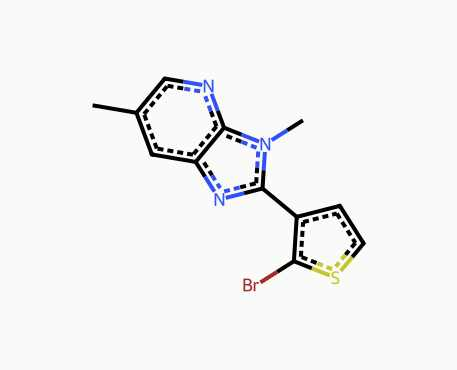 Cc1cnc2c(c1)nc(-c1ccsc1Br)n2C